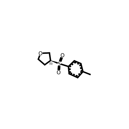 Cc1ccc(S(=O)(=O)[C@H]2CCOC2)cc1